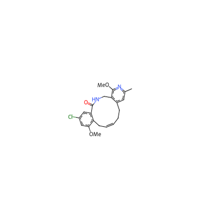 COc1cc(Cl)cc2c1CC=CCCc1cc(C)nc(OC)c1CNC2=O